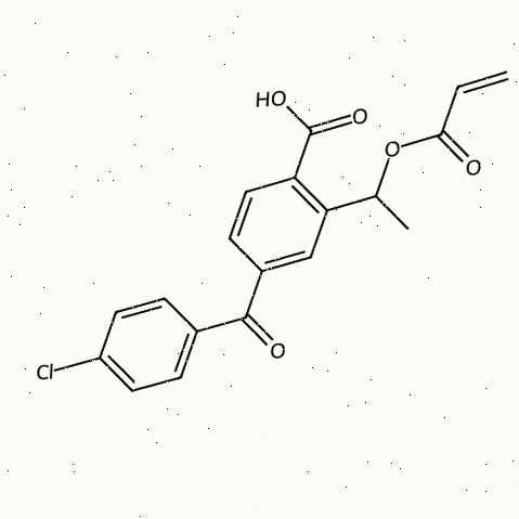 C=CC(=O)OC(C)c1cc(C(=O)c2ccc(Cl)cc2)ccc1C(=O)O